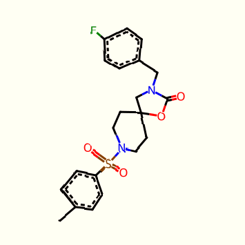 Cc1ccc(S(=O)(=O)N2CCC3(CC2)CN(Cc2ccc(F)cc2)C(=O)O3)cc1